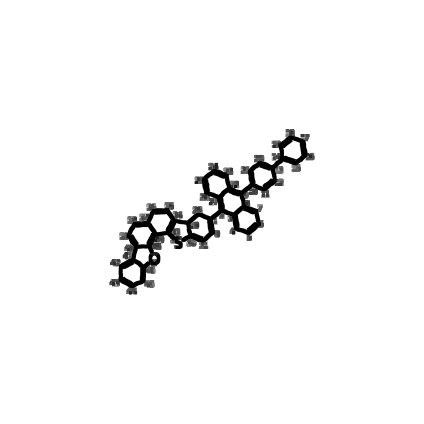 C1=C(c2c3ccccc3c(-c3ccc(-c4ccccc4)cc3)c3ccccc23)CC2C(=C1)Sc1c2ccc2ccc3c4ccccc4oc3c12